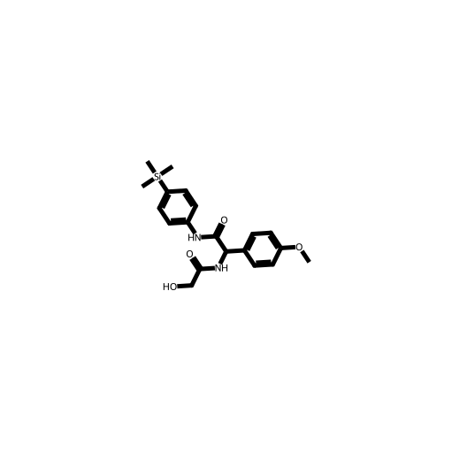 COc1ccc(C(NC(=O)CO)C(=O)Nc2ccc([Si](C)(C)C)cc2)cc1